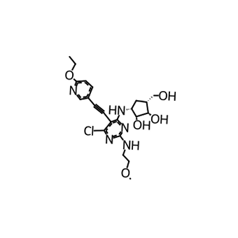 CCOc1ccc(C#Cc2c(Cl)nc(NCCOC)nc2N[C@@H]2C[C@H](CO)[C@@H](O)[C@H]2O)cn1